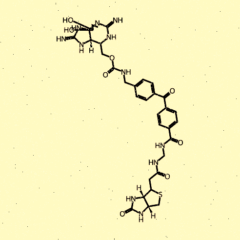 N=C1N[C@H]2C(COC(=O)NCc3ccc(C(=O)c4ccc(C(=O)NCNC(=O)CC5SC[C@@H]6NC(=O)N[C@H]56)cc4)cc3)NC(=N)N3CCC(O)(O)[C@]23N1